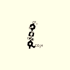 Cc1ccc(S(=O)(=O)N2CCN(c3ccc(C(F)(F)F)cn3)CC2)cc1CC(=O)O